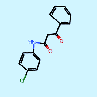 O=C(CC(=O)c1ccccc1)Nc1ccc(Cl)cc1